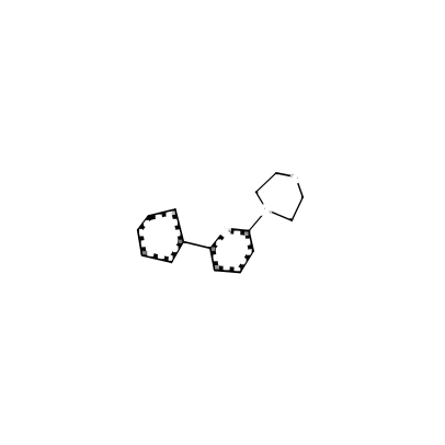 c1ccc(-c2cccc(N3CCNCC3)n2)cc1